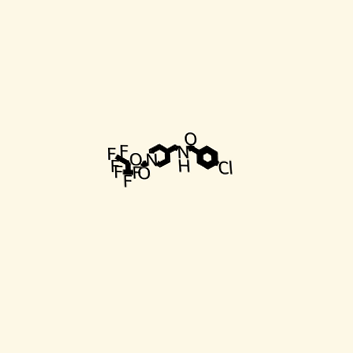 O=C(NCC1CCN(C(=O)OC(C(F)(F)F)C(F)(F)F)CC1)c1ccc(Cl)cc1